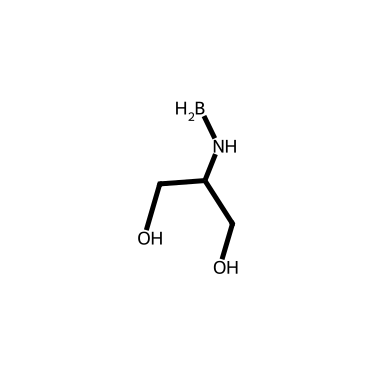 BNC(CO)CO